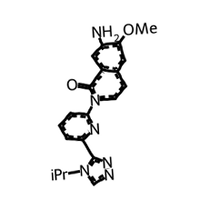 COc1cc2ccn(-c3cccc(-c4nncn4C(C)C)n3)c(=O)c2cc1N